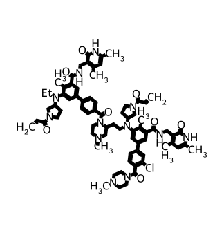 C=CC(=O)N1CCC(N(CC)c2cc(-c3ccc(C(=O)N4CCN(C)CC4CCN(c4cc(-c5ccc(C(=O)N6CCN(C)CC6)c(Cl)c5)cc(C(=O)NCc5c(C)cc(C)[nH]c5=O)c4C)C4CCN(C(=O)C=C)C4)cc3)cc(C(=O)NCc3c(C)cc(C)[nH]c3=O)c2C)C1